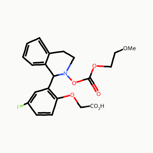 COCCOC(=O)ON1CCc2ccccc2C1c1cc(F)ccc1OCC(=O)O